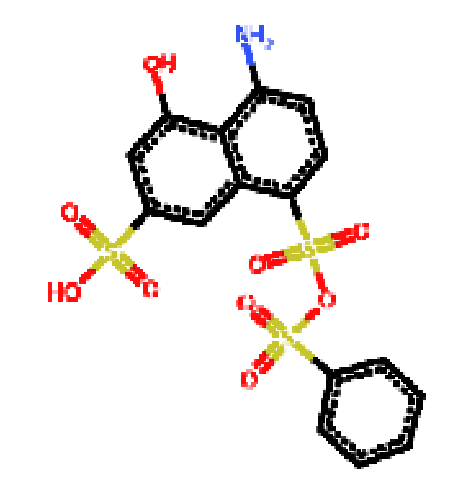 Nc1ccc(S(=O)(=O)OS(=O)(=O)c2ccccc2)c2cc(S(=O)(=O)O)cc(O)c12